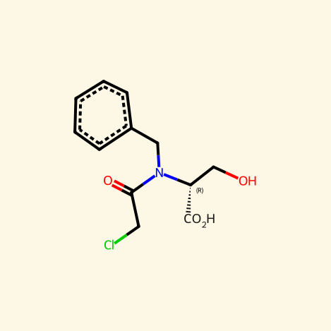 O=C(O)[C@@H](CO)N(Cc1ccccc1)C(=O)CCl